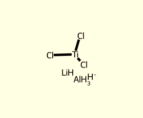 [AlH3].[Cl][Ti]([Cl])[Cl].[H-].[LiH]